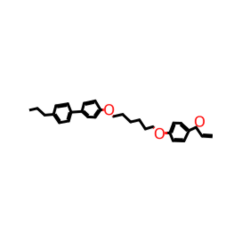 C=CC(=O)c1ccc(OCCCCCCOc2ccc(-c3ccc(CCC)cc3)cc2)cc1